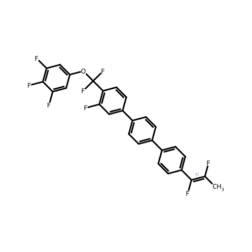 C/C(F)=C(\F)c1ccc(-c2ccc(-c3ccc(C(F)(F)Oc4cc(F)c(F)c(F)c4)c(F)c3)cc2)cc1